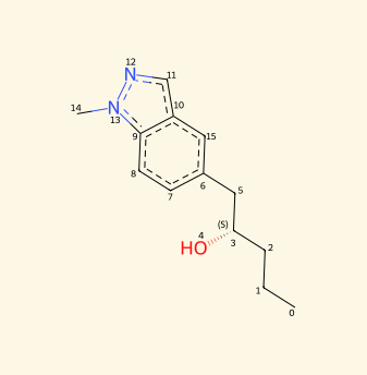 CCC[C@H](O)Cc1ccc2c(cnn2C)c1